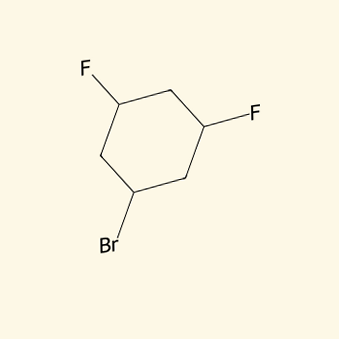 FC1CC(F)CC(Br)C1